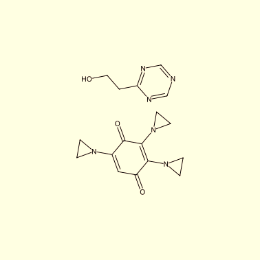 O=C1C=C(N2CC2)C(=O)C(N2CC2)=C1N1CC1.OCCc1ncncn1